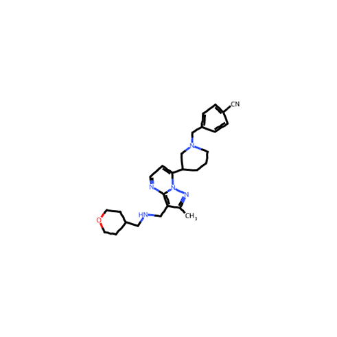 Cc1nn2c(C3CCCN(Cc4ccc(C#N)cc4)C3)ccnc2c1CNCC1CCOCC1